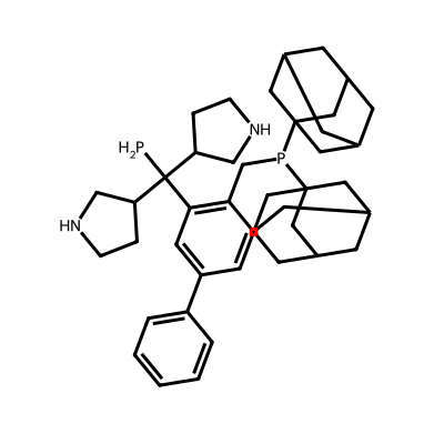 PC(c1cc(-c2ccccc2)ccc1CP(C12CC3CC(CC(C3)C1)C2)C12CC3CC(CC(C3)C1)C2)(C1CCNC1)C1CCNC1